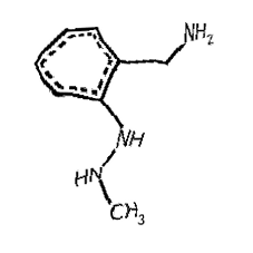 CNNc1ccccc1CN